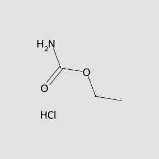 CCOC(N)=O.Cl